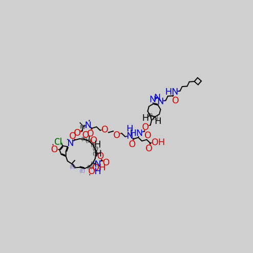 COc1cc2cc(c1Cl)N(C)C(=O)C[C@H](OC(=O)[C@@H](C)N(C)C(=O)CCOCCOCCNC(=O)C(CCC(=O)O)NC(=O)OCC1[C@H]3CCc4c(nnn4CCC(=O)NCCCCC4CCC4)CC[C@@H]13)[C@]1(C)O[C@H]1[C@H](C)[C@@H]1C[C@@](O)(NC(=O)O1)[C@H](OC)/C=C/C=C(\C)C2